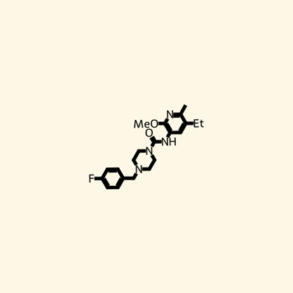 CCc1cc(NC(=O)N2CCN(Cc3ccc(F)cc3)CC2)c(OC)nc1C